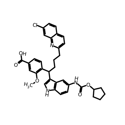 COc1cc(C(=O)O)ccc1C(CCCc1ccc2ccc(Cl)cc2n1)c1c[nH]c2ccc(NC(=O)OC3CCCC3)cc12